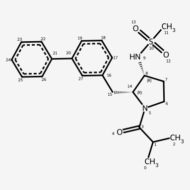 CC(C)C(=O)N1CC[C@@H](NS(C)(=O)=O)[C@H]1Cc1cccc(-c2ccccc2)c1